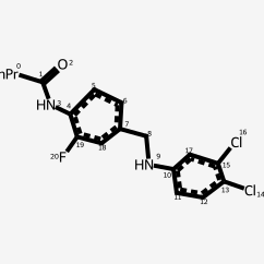 CCCC(=O)Nc1ccc(CNc2ccc(Cl)c(Cl)c2)cc1F